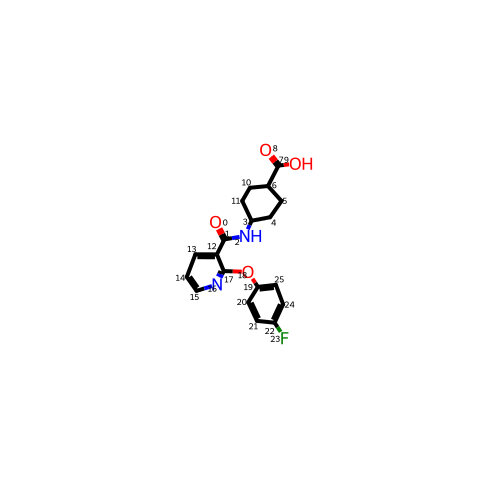 O=C(NC1CCC(C(=O)O)CC1)c1cccnc1Oc1ccc(F)cc1